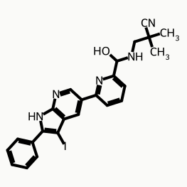 CC(C)(C#N)CNC(O)c1cccc(-c2cnc3[nH]c(-c4ccccc4)c(I)c3c2)n1